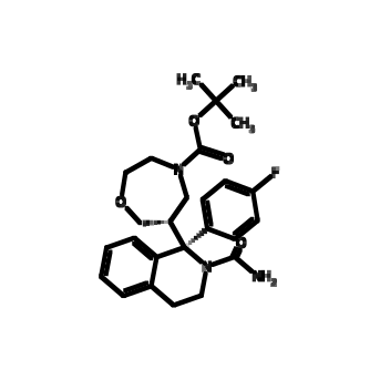 CC(C)(C)OC(=O)N1CCOC[C@@H]([C@]2(c3ccc(F)cc3)c3ccccc3CCN2C(N)=O)C1